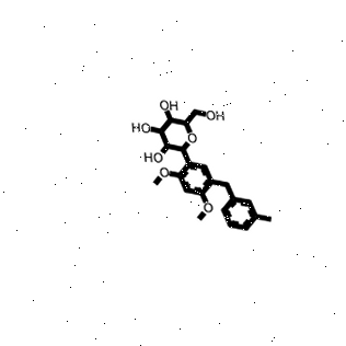 COc1cc(OC)c(C2OC(CO)C(O)C(O)C2O)cc1Cc1cccc(C)c1